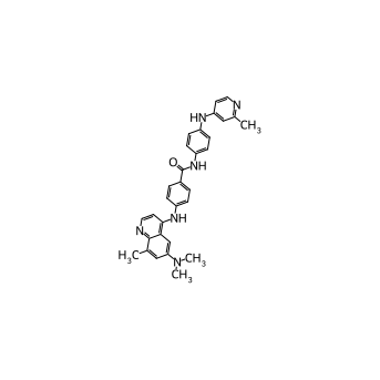 Cc1cc(Nc2ccc(NC(=O)c3ccc(Nc4ccnc5c(C)cc(N(C)C)cc45)cc3)cc2)ccn1